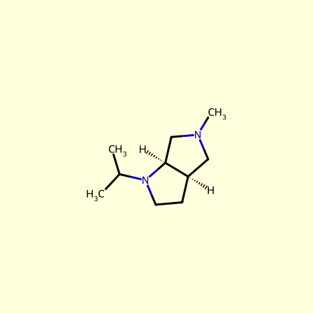 CC(C)N1CC[C@@H]2CN(C)C[C@@H]21